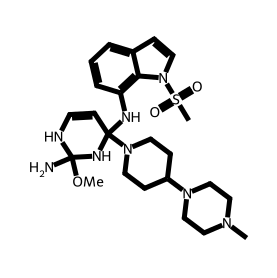 COC1(N)NC=CC(Nc2cccc3ccn(S(C)(=O)=O)c23)(N2CCC(N3CCN(C)CC3)CC2)N1